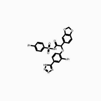 CCCc1cc(-c2nnn[nH]2)ccc1OC(C(=O)NS(=O)(=O)c1ccc(C(C)C)cc1)c1ccc2c(c1)OCO2